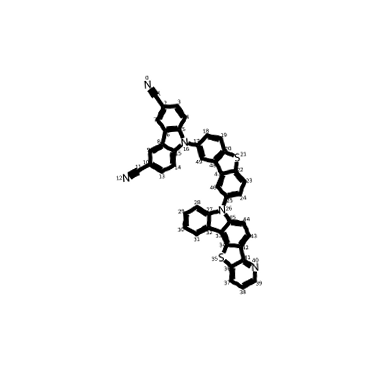 N#Cc1ccc2c(c1)c1cc(C#N)ccc1n2-c1ccc2sc3ccc(-n4c5ccccc5c5c6sc7cccnc7c6ccc54)cc3c2c1